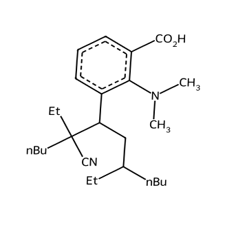 CCCCC(CC)CC(c1cccc(C(=O)O)c1N(C)C)C(C#N)(CC)CCCC